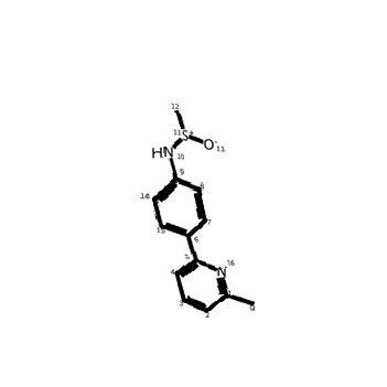 Cc1cccc(-c2ccc(N[S+](C)[O-])cc2)n1